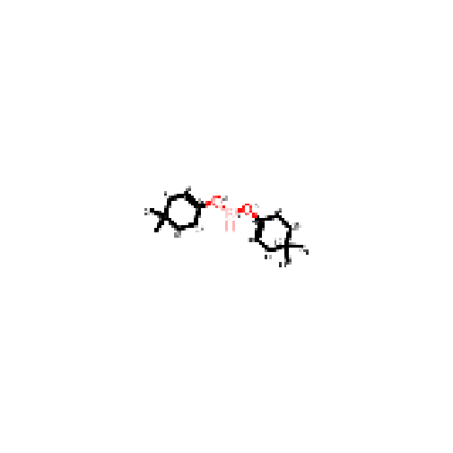 CC1(C)CC=C(OBOC2=CCC(C)(C)CC2)CC1